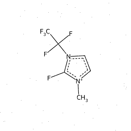 C[n+]1ccn(C(F)(F)C(F)(F)F)c1F